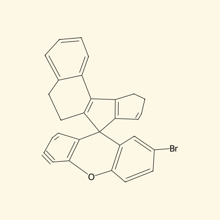 Brc1ccc2c(c1)C1(C3=C(CCC=C3)C3=C1CCc1ccccc13)c1ccc#cc1O2